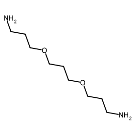 NCCCOCCCOCCCN